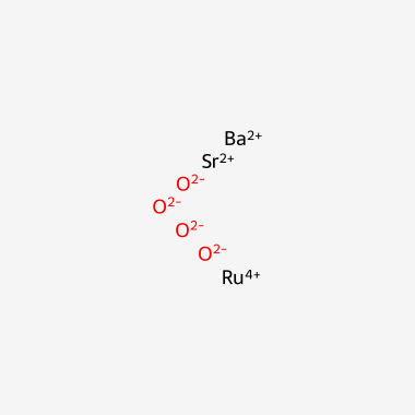 [Ba+2].[O-2].[O-2].[O-2].[O-2].[Ru+4].[Sr+2]